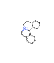 c1ccc2c(c1)CC[n+]1ccc3ccccc3c1-2